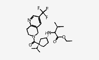 CCOC(=O)C(N[C@@H]1CC[C@@](C(=O)N2CCc3ncc(C(F)(F)F)cc3C2)(C(C)C)C1)C(C)C